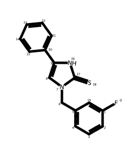 Fc1cccc(Cn2cc(-c3ccccc3)[nH]c2=S)c1